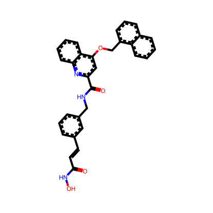 O=C(/C=C/c1cccc(CNC(=O)c2cc(OCc3cccc4ccccc34)c3ccccc3n2)c1)NO